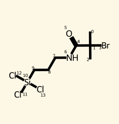 CC(C)(Br)C(=O)NCCC[Si](Cl)(Cl)Cl